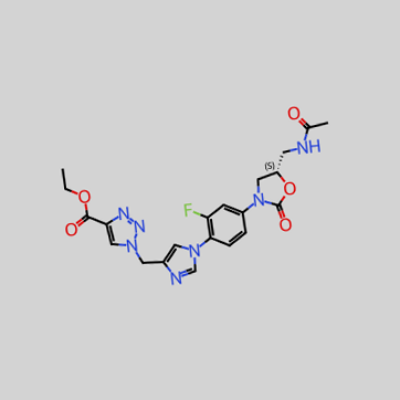 CCOC(=O)c1cn(Cc2cn(-c3ccc(N4C[C@H](CNC(C)=O)OC4=O)cc3F)cn2)nn1